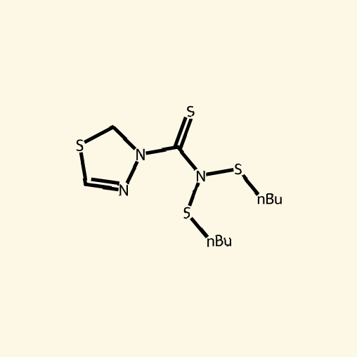 CCCCSN(SCCCC)C(=S)N1CSC=N1